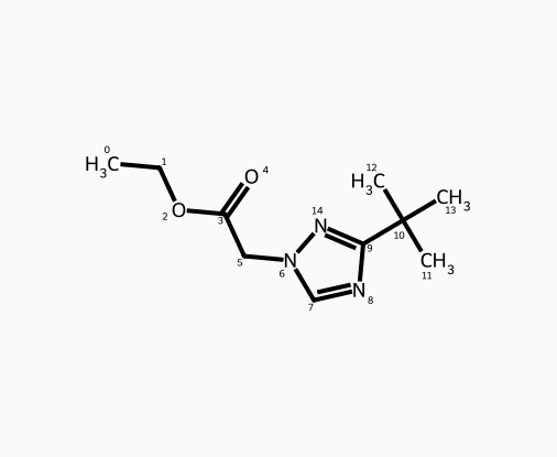 CCOC(=O)Cn1cnc(C(C)(C)C)n1